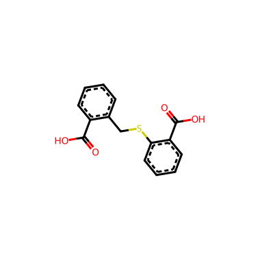 O=C(O)c1ccccc1CSc1ccccc1C(=O)O